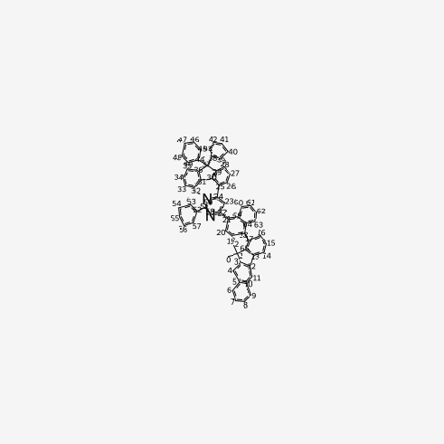 CC1(C)c2cc3ccccc3cc2-c2cccc(-c3ccc(-c4cc(-c5cccc6c5-c5ccccc5C6(c5ccccc5)c5ccccc5)nc(-c5ccccc5)n4)c4ccccc34)c21